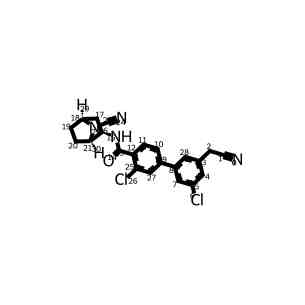 N#CCc1cc(Cl)cc(-c2ccc(C(=O)N[C@@H]3C[C@@H]4CC[C@H]3N4C#N)c(Cl)c2)c1